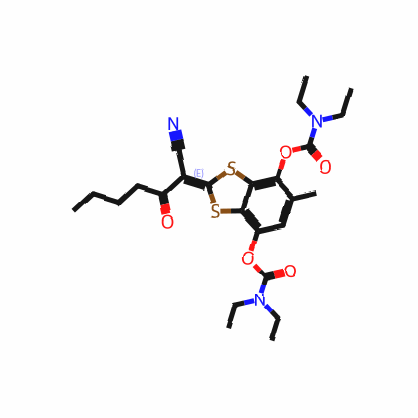 CCCCC(=O)/C(C#N)=C1\Sc2c(OC(=O)N(CC)CC)cc(C)c(OC(=O)N(CC)CC)c2S1